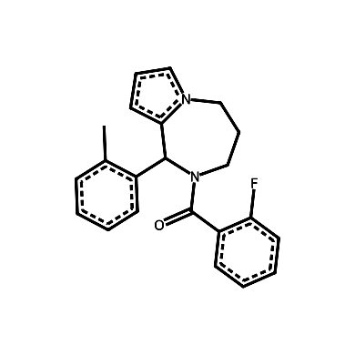 Cc1ccccc1C1c2cccn2CCCN1C(=O)c1ccccc1F